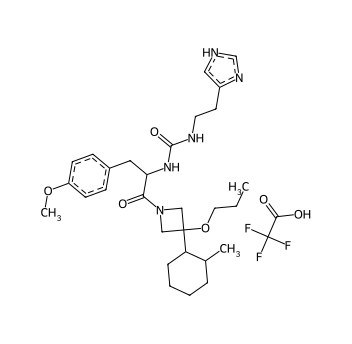 CCCOC1(C2CCCCC2C)CN(C(=O)C(Cc2ccc(OC)cc2)NC(=O)NCCc2c[nH]cn2)C1.O=C(O)C(F)(F)F